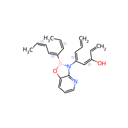 C=C/C=C(\C=C(\O)C=C)N1B(C(/C=C\C)=C/C=C\C)Oc2cccnc21